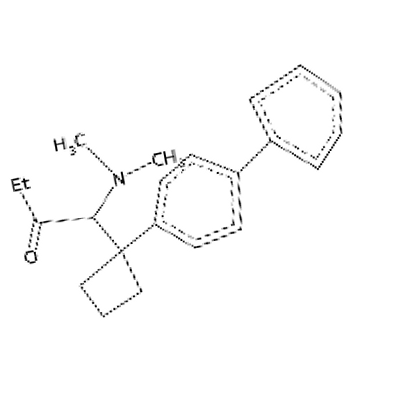 CCC(=O)C(N(C)C)C1(c2ccc(-c3ccccc3)cc2)CCC1